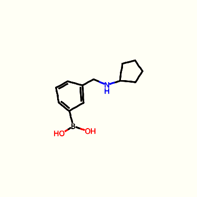 OB(O)c1cccc(CNC2CCCC2)c1